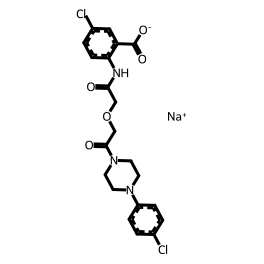 O=C(COCC(=O)N1CCN(c2ccc(Cl)cc2)CC1)Nc1ccc(Cl)cc1C(=O)[O-].[Na+]